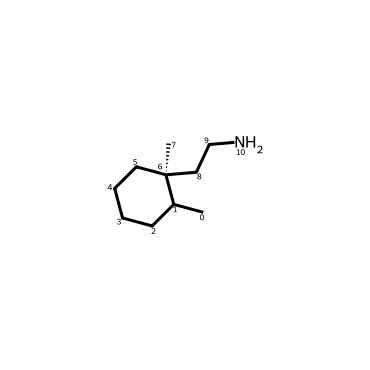 CC1CCCC[C@@]1(C)CCN